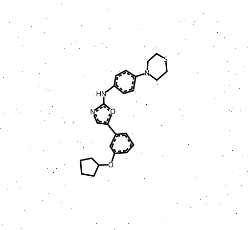 c1cc(OC2CCCC2)cc(-c2cnc(Nc3ccc(N4CCSCC4)cc3)o2)c1